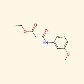 CCOC(=O)CC(=O)Nc1cccc(OC)c1